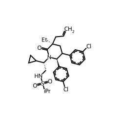 C=CC[C@@]1(CC)CC(c2cccc(Cl)c2)[C@@H](c2ccc(Cl)cc2)N([C@H](CNS(=O)(=O)C(C)C)C2CC2)C1=O